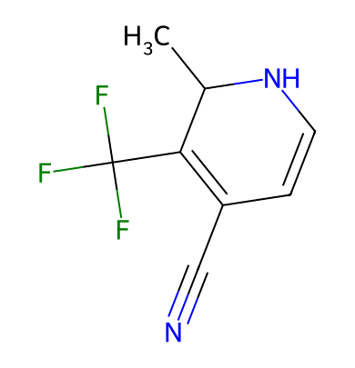 CC1NC=CC(C#N)=C1C(F)(F)F